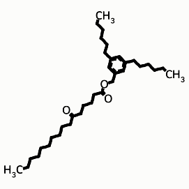 CCCCCCCCCCC(=O)CCCCC(=O)OCc1cc(CCCCCC)cc(CCCCCC)c1